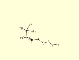 CCCCC/N=C(/Cl)C(F)(F)F